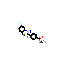 COC(=O)c1ccc(CNc2cc(F)ccc2[N+](=O)[O-])cc1